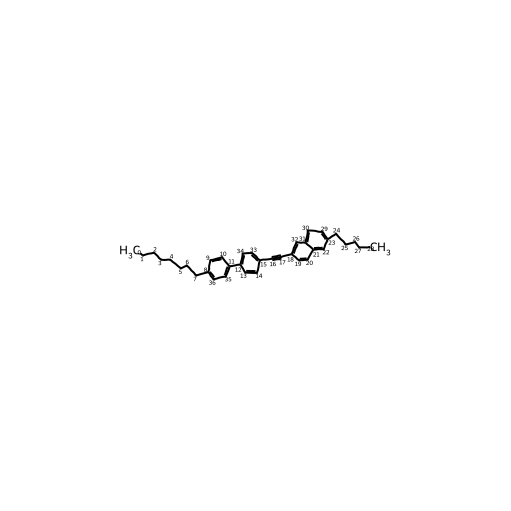 CCCCCCCCc1ccc(-c2ccc(C#Cc3ccc4cc(CCCCC)ccc4c3)cc2)cc1